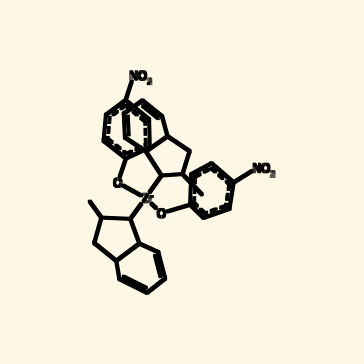 CC1CC2C=CC=CC2[CH]1[Zr]([O]c1ccc([N+](=O)[O-])cc1)([O]c1ccc([N+](=O)[O-])cc1)[CH]1C(C)CC2C=CC=CC21